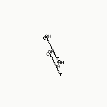 C1=C[IH][IH]C1.CC(C)CCCCCCCCCCCCCCC(=O)O.CC(C)CCCCCCCCCCCCCCC(=O)O